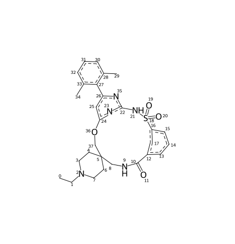 CCN1CCC2(CC1)CNC(=O)c1cccc(c1)S(=O)(=O)Nc1nc(cc(-c3c(C)cccc3C)n1)OC2